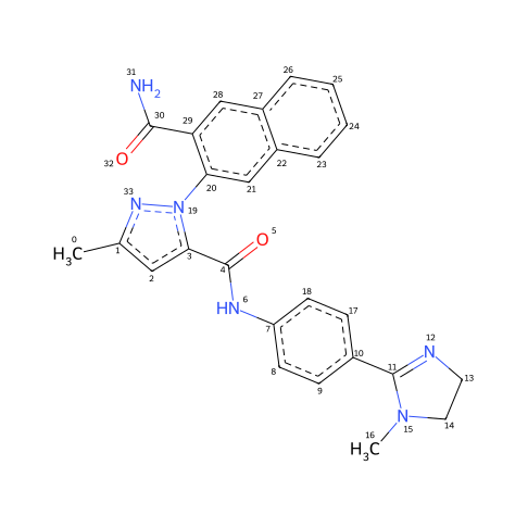 Cc1cc(C(=O)Nc2ccc(C3=NCCN3C)cc2)n(-c2cc3ccccc3cc2C(N)=O)n1